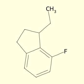 CCC1CCc2cccc(F)c21